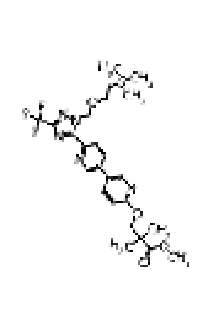 COC(=O)C(C)(C)COc1ccc(-c2ccc(-c3nc(C(F)(F)F)nn3COCCS(C)(C)C)nc2)cn1